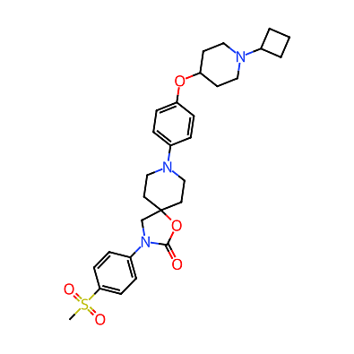 CS(=O)(=O)c1ccc(N2CC3(CCN(c4ccc(OC5CCN(C6CCC6)CC5)cc4)CC3)OC2=O)cc1